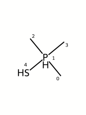 C[PH](C)(C)S